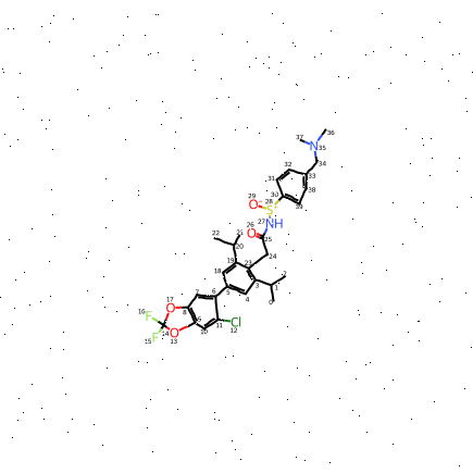 CC(C)c1cc(-c2cc3c(cc2Cl)OC(F)(F)O3)cc(C(C)C)c1CC(=O)N[S+]([O-])c1ccc(CN(C)C)cc1